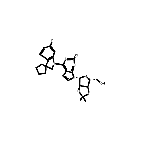 CC1(C)OC2C(O1)[C@@H](CO)O[C@H]2n1cnc2c(N3CC4(CCCC4)c4ccc(F)cc43)nc(Cl)nc21